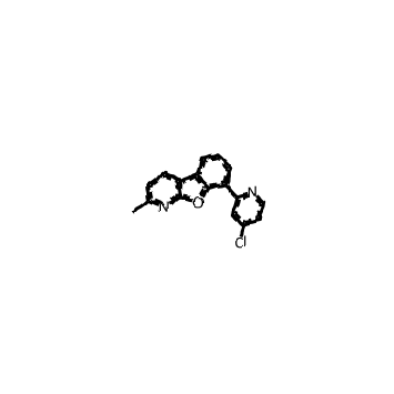 Cc1ccc2c(n1)oc1c(-c3cc(Cl)ccn3)cccc12